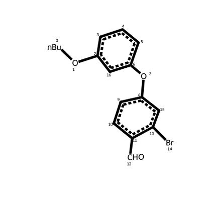 CCCCOc1cccc(Oc2ccc(C=O)c(Br)c2)c1